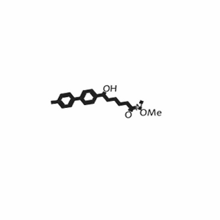 CON(C)C(=O)CCCCC(O)c1ccc(-c2ccc(C)cc2)cc1